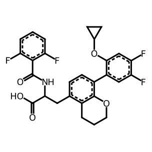 O=C(NC(Cc1ccc(-c2cc(F)c(F)cc2OC2CC2)c2c1CCCO2)C(=O)O)c1c(F)cccc1F